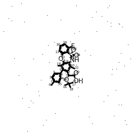 Cc1ccc(-c2c(C)c3c(c(C)c2[C@H](OC(C)(C)C)C(=O)O)NS(=O)(=O)c2c(F)cccc2O3)cc1